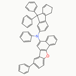 C1=CC2=C(CC1)c1ccc(N(c3ccccc3)c3cc4c5cc(-c6ccccc6)ccc5oc4c4ccccc34)cc1C2(c1ccccc1)c1ccccc1